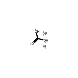 I.O=C(O)O.[Ag]